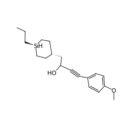 CCC[Si@H]1CC[C@H](CC(O)C#Cc2ccc(OC)cc2)CC1